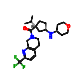 CC(C)[C@]1(C(=O)N2CCc3ccc(C(F)(F)F)nc3C2)CCC(NC2CCOCC2)C1